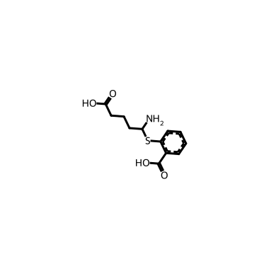 NC(CCCC(=O)O)Sc1ccccc1C(=O)O